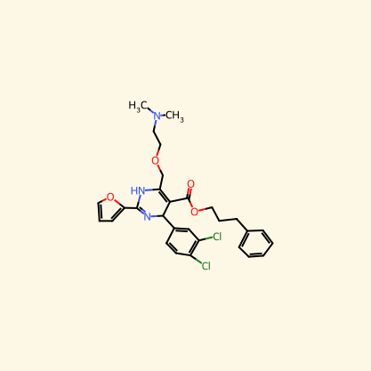 CN(C)CCOCC1=C(C(=O)OCCCc2ccccc2)C(c2ccc(Cl)c(Cl)c2)N=C(c2ccco2)N1